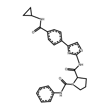 O=C(NC1CC1)c1ccc(-c2csc(NC(=O)C3CCCN3C(=O)Nc3ccccc3)n2)cc1